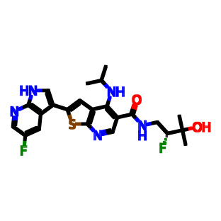 CC(C)Nc1c(C(=O)NC[C@@H](F)C(C)(C)O)cnc2sc(-c3c[nH]c4ncc(F)cc34)cc12